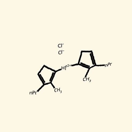 CCCC1=CC[C]([Hf+2][C]2=C(C)C(CCC)=CC2)=C1C.[Cl-].[Cl-]